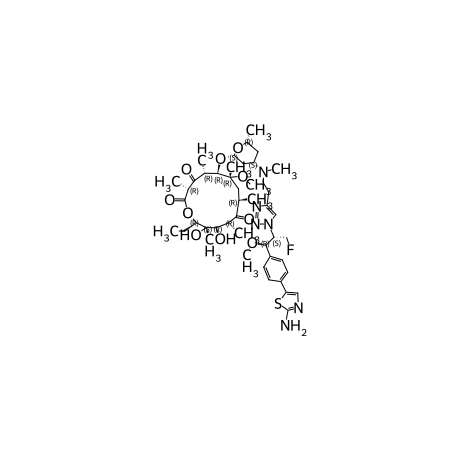 CC[C@H]1OC(=O)[C@H](C)C(=O)[C@H](C)[C@@H](O[C@H]2C[C@@H](N(C)CCc3cn([C@H](CF)[C@H](OC)c4ccc(-c5cnc(N)s5)cc4)nn3)C[C@@H](C)O2)[C@](C)(OC)C[C@@H](C)C(=O)[C@H](C)[C@@H](O)[C@]1(C)O